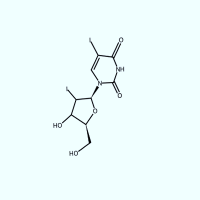 O=c1[nH]c(=O)n([C@H]2O[C@@H](CO)C(O)C2I)cc1I